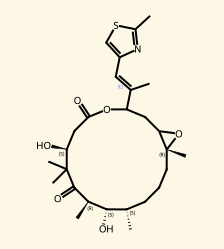 C/C(=C\c1csc(C)n1)C1CC2O[C@]2(C)CCC[C@H](C)[C@H](O)[C@@H](C)C(=O)C(C)(C)[C@@H](O)CC(=O)O1